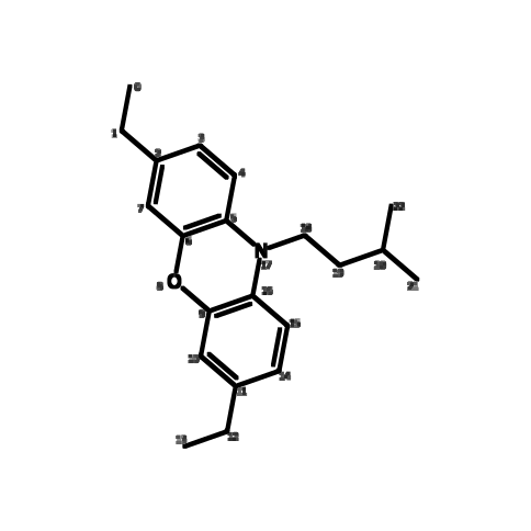 CCc1ccc2c(c1)Oc1cc(CC)ccc1N2CCC(C)C